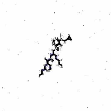 C\C=C/C(=C\C(C)=C\CC)C(/C)=C(F)/C=C(\C=C\CCC)CNc1ncnc(NCC2CC2)c1F